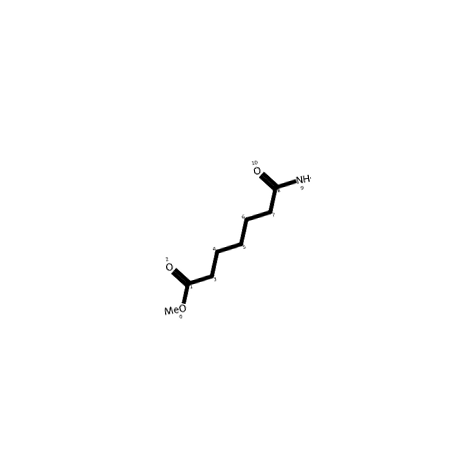 COC(=O)CCCCCC([NH])=O